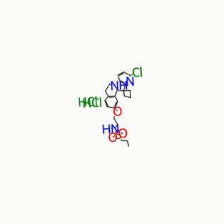 CCCS(=O)(=O)NCCOc1ccc2c(c1)C(C1(c3cccc(Cl)n3)CCC1)NCC2.Cl.Cl